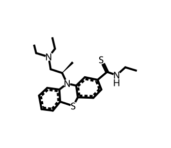 CCNC(=S)c1ccc2c(c1)N([C@H](C)CN(CC)CC)c1ccccc1S2